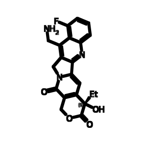 CC[C@@]1(O)C(=O)OCc2c1cc1n(c2=O)Cc2c-1nc1cccc(F)c1c2CN